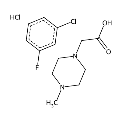 CN1CCN(CC(=O)O)CC1.Cl.Fc1cccc(Cl)c1